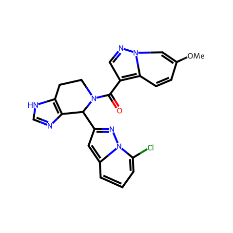 COc1ccc2c(C(=O)N3CCc4[nH]cnc4C3c3cc4cccc(Cl)n4n3)cnn2c1